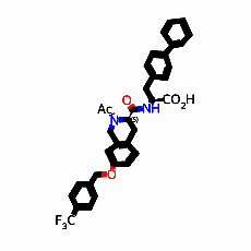 CC(=O)N1Cc2cc(OCc3ccc(C(F)(F)F)cc3)ccc2C[C@H]1C(=O)N[C@@H](Cc1ccc(-c2ccccc2)cc1)C(=O)O